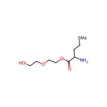 CSCCC(N)C(=O)OCCOCCO